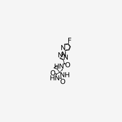 O=C1NC(=O)[C@](CNC(=O)c2cnn(-c3ccc(F)cn3)n2)(C2CC2)N1